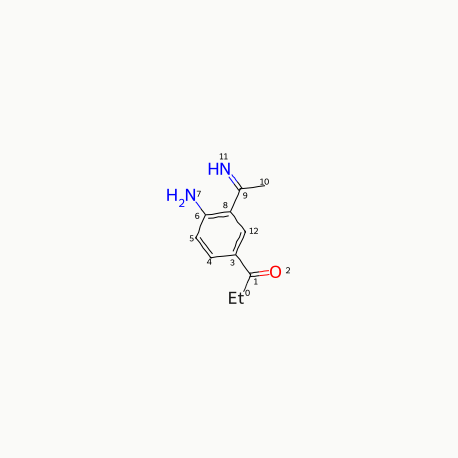 CCC(=O)c1ccc(N)c(C(C)=N)c1